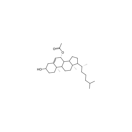 CC(=O)O[C@H]1C=C2CC(O)CC[C@]2(C)C2CC[C@@]3(C)C(CCC3[C@H](C)CCCC(C)C)C21